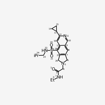 CCNC(=O)CN1Cc2cc3cnc(C4CC4)cc3c(S(=O)(=O)NCC(C)C)c2C1